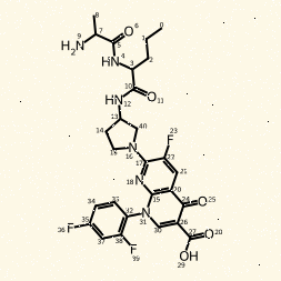 CCCC(NC(=O)C(C)N)C(=O)NC1CCN(c2nc3c(cc2F)c(=O)c(C(=O)O)cn3-c2ccc(F)cc2F)C1